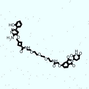 Nc1nnc(-c2ccccc2O)cc1OCC12CC(C(=O)NCCOCCOCCOCCNC(=O)COc3ccc4c(c3)C(=O)N(C3CCC(=O)NC3=O)C4=O)(C1)C2